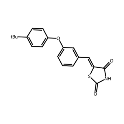 CC(C)(C)c1ccc(Oc2cccc(/C=C3\SC(=O)NC3=O)c2)cc1